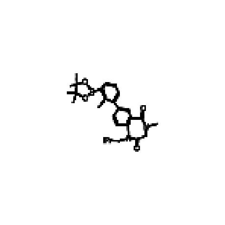 Cc1c(B2OC(C)(C)C(C)(C)O2)cccc1-c1ccc2c(c1)C(=O)N(C)CC(=O)N2CC(C)C